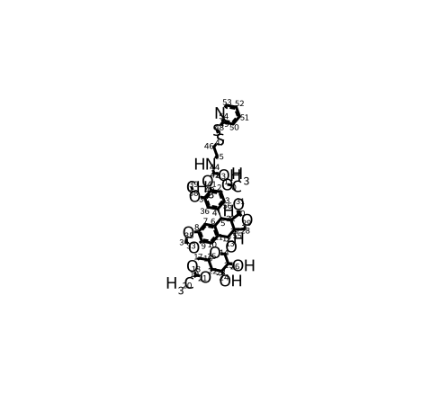 COc1cc([C@@H]2c3cc4c(cc3[C@@H](OC3OC5COC(C)OC5C(O)C3O)[C@H]3COC(=O)[C@H]23)OCO4)cc(OC)c1OC(O)NCCSSc1ccccn1